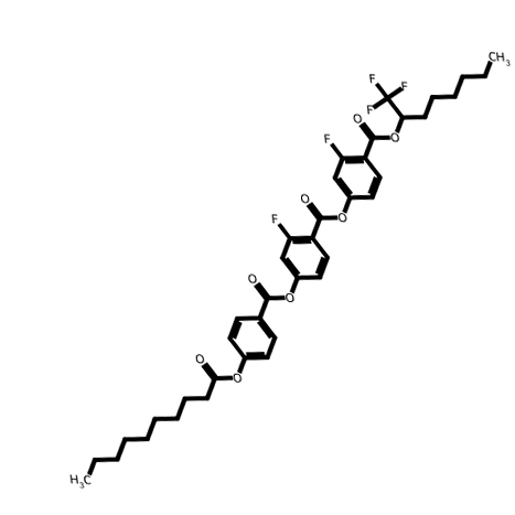 CCCCCCCCCC(=O)Oc1ccc(C(=O)Oc2ccc(C(=O)Oc3ccc(C(=O)OC(CCCCCC)C(F)(F)F)c(F)c3)c(F)c2)cc1